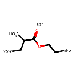 CCCCCCCCCCCOC(=O)C(CC(=O)[O-])S(=O)(=O)O.[Na+]